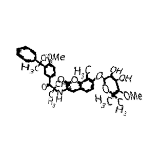 COc1ccc(C(=O)C(C)(C)Nc2cc3ccc(O[C@@H]4OC(C)(C)[C@H](OC)[C@H](O)C4O)c(C)c3oc2=O)cc1C(C)(C)c1ccccc1